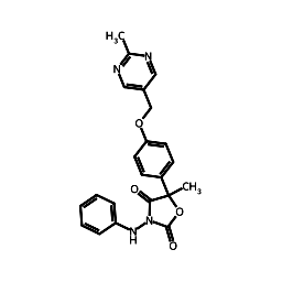 Cc1ncc(COc2ccc(C3(C)OC(=O)N(Nc4ccccc4)C3=O)cc2)cn1